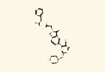 C[C@H](O)[C@@H](NC(=O)CN1Cc2ccc(-c3nc(NC4CCOCC4)ncc3Br)cc2C1=O)c1ccccc1